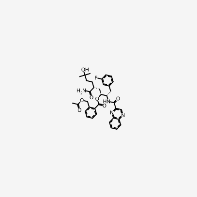 CC(=O)OCc1ccccc1C(=O)O[C@@H](C[C@@H](CCC(C)(C)O)C(N)=O)[C@H](Cc1cccc(F)c1)NC(=O)c1cnc2ccccc2n1